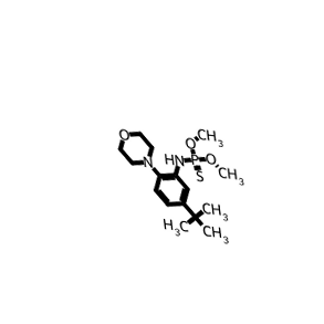 COP(=S)(Nc1cc(C(C)(C)C)ccc1N1CCOCC1)OC